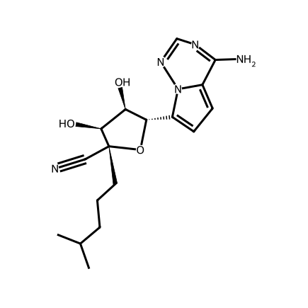 CC(C)CCC[C@]1(C#N)O[C@@H](c2ccc3c(N)ncnn23)[C@H](O)[C@@H]1O